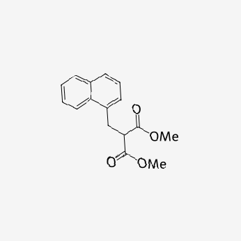 COC(=O)C(Cc1cccc2ccccc12)C(=O)OC